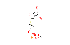 CCOP(C)(=O)OCCC(C)(C)SCc1c(OC)cc(OC)cc1OC